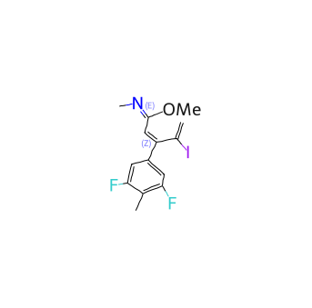 C=C(I)/C(=C\C(=N/C)OC)c1cc(F)c(C)c(F)c1